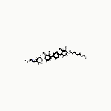 C/C=C/C1CCC(c2ccc(-c3ccc(-c4ccc(CCCCCC)c(F)c4F)cc3)c(F)c2F)OC1